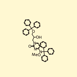 CON(c1ccn(CC(O)COC(c2ccccc2)(c2ccccc2)c2ccccc2)c(=O)n1)C(c1ccccc1)(c1ccccc1)c1ccccc1